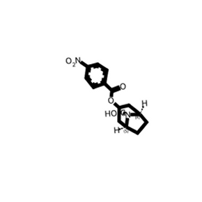 O=C(OC1C[C@H]2CC[C@@H](C1)N2C(=O)O)c1ccc([N+](=O)[O-])cc1